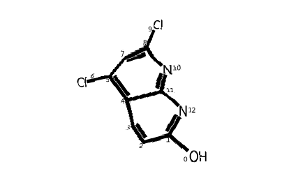 Oc1ccc2c(Cl)cc(Cl)nc2n1